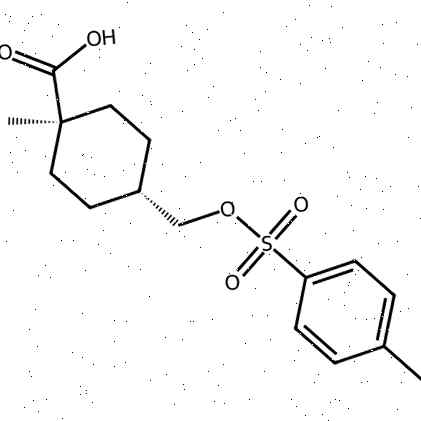 Cc1ccc(S(=O)(=O)OC[C@H]2CC[C@](C)(C(=O)O)CC2)cc1